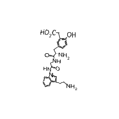 NCCc1cn(NC(=O)CNC(=O)[C@@H](N)Cc2ccc(O)c(CC(=O)O)c2)c2ccccc12